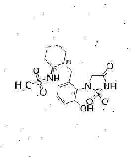 CS(=O)(=O)N[C@H]1CCCC[C@@H]1Cc1cccc(O)c1N1CC(=O)NS1(=O)=O